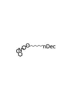 CCCCCCCCCCCCCCCCCCOc1ccc(-[n+]2cccc3ccccc32)cc1